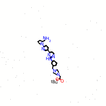 CC(C)(C)OC(=O)CN1CCN(Cc2cccc(Nc3nccc(-c4ccc(N5CCCC5CN)nc4)n3)c2)CC1